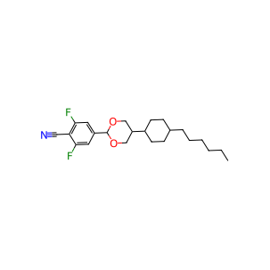 CCCCCCC1CCC(C2COC(c3cc(F)c(C#N)c(F)c3)OC2)CC1